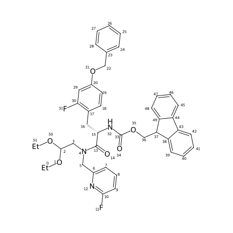 CCOC(CN(Cc1cccc(F)n1)C(=O)[C@H](Cc1ccc(OCc2ccccc2)cc1F)NC(=O)OCC1c2ccccc2-c2ccccc21)OCC